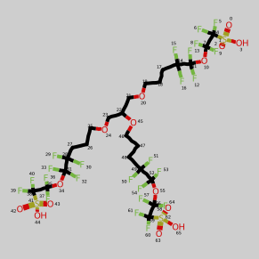 O=S(=O)(O)C(F)(F)C(F)(F)OC(F)(F)C(F)(F)CCCOCC(COCCCC(F)(F)C(F)(F)OC(F)(F)C(F)(F)S(=O)(=O)O)OCCCC(F)(F)C(F)(F)OC(F)(F)C(F)(F)S(=O)(=O)O